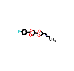 CC/C=C/C1COC(C2COC(c3ccc(F)cc3)OC2)OC1